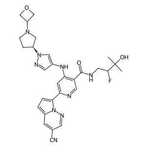 CC(C)(O)C(F)CNC(=O)c1cnc(-c2ccc3cc(C#N)cnn23)cc1Nc1cnn([C@H]2CCN(C3COC3)C2)c1